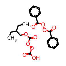 CCC(CC)COC(=O)OOC(=O)O.O=C(OOC(=O)c1ccccc1)c1ccccc1